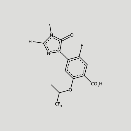 CCc1nn(-c2cc(OC(C)C(F)(F)F)c(C(=O)O)cc2F)c(=O)n1C